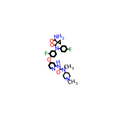 CN1CCC(N(C)C(=O)Nc2cc(Oc3ccc(N(C(=O)C4(C(N)=O)CC4)c4ccc(F)cc4)cc3F)ccn2)CC1